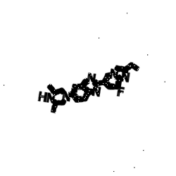 CCc1cn2cc(-c3ncc4cc(N5CC(C)NC(C)C5)ccc4n3)cc(F)c2n1